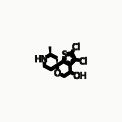 C[C@H]1C[C@@]2(CCN1)OCC(O)c1c2sc(Cl)c1Cl